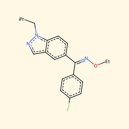 CCO/N=C(\c1ccc(F)cc1)c1ccc2c(cnn2CC(C)C)c1